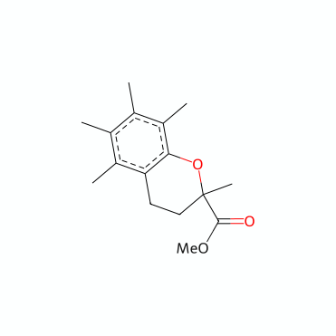 COC(=O)C1(C)CCc2c(C)c(C)c(C)c(C)c2O1